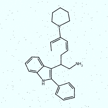 C/C=C(\C=C/CC(CN)c1c(-c2ccccc2)[nH]c2ccccc12)N1CCCCC1